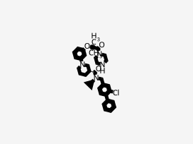 CC(C)(Oc1cccc(N2CCC[C@@H](C(=O)N(Cc3ccc(-c4ccccc4)c(Cl)c3)C3CC3)C2)c1)C(=O)N1CCNCC1